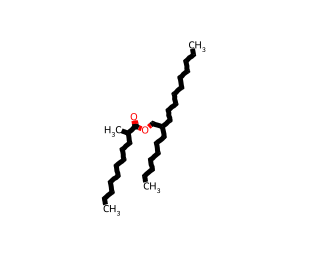 CCCCCCCCCCC(CCCCCCC)COC(=O)C(C)CCCCCCCCC